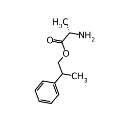 CC(COC(=O)[C@H](C)N)c1ccccc1